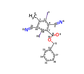 Cc1c(I)c(C#N)c(C(=O)OCc2ccccc2)c(I)c1C#N